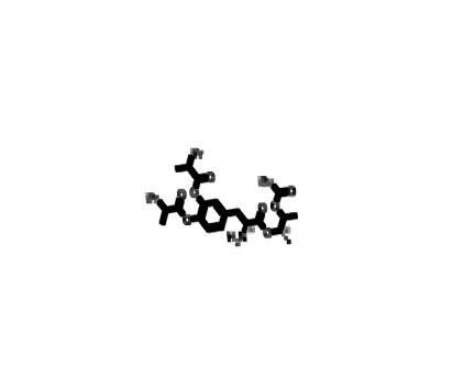 CCC(C)C(=O)OC(C)[C@H](C)OC(=O)[C@@H](N)Cc1ccc(OC(=O)C(C)C(C)C)c(OC(=O)C(C)C(C)C)c1